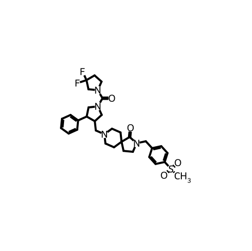 CS(=O)(=O)c1ccc(CN2CCC3(CCN(CC4CN(C(=O)N5CCC(F)(F)C5)CC4c4ccccc4)CC3)C2=O)cc1